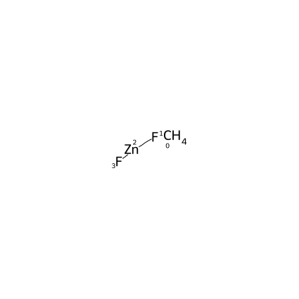 C.[F][Zn][F]